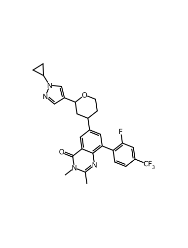 Cc1nc2c(-c3ccc(C(F)(F)F)cc3F)cc(C3CCOC(c4cnn(C5CC5)c4)C3)cc2c(=O)n1C